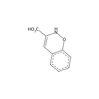 O=C(O)C1=Cc2ccccc2ON1